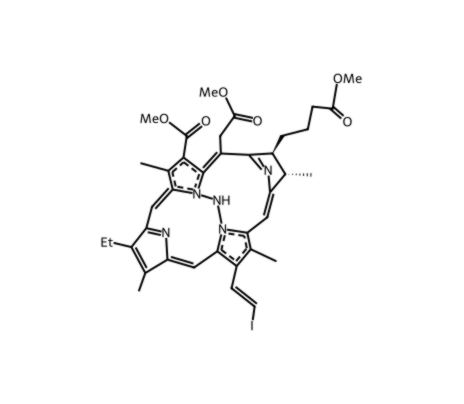 CCC1=C(C)/C2=C/c3c(/C=C/I)c(C)c4n3Nn3/c(c(C)c(C(=O)OC)/c3=C(\CC(=O)OC)C3=N/C(=C\4)[C@@H](C)[C@@H]3CCCC(=O)OC)=C\C1=N2